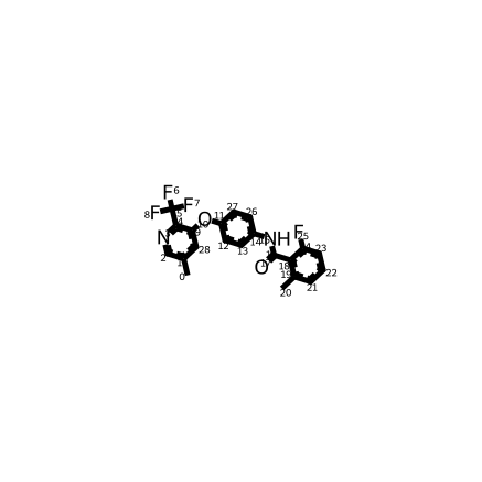 Cc1cnc(C(F)(F)F)c(Oc2ccc(NC(=O)c3c(C)cccc3F)cc2)c1